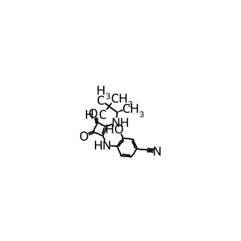 C[C@@H](Nc1c(Nc2ccc(C#N)cc2O)c(=O)c1=O)C(C)(C)C